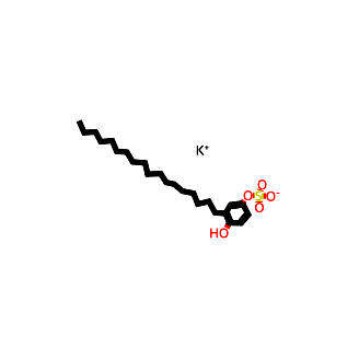 CCCCCCCCCCCCCCCCCCc1cc(OS(=O)(=O)[O-])ccc1O.[K+]